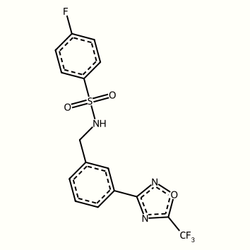 O=S(=O)(NCc1cccc(-c2noc(C(F)(F)F)n2)c1)c1ccc(F)cc1